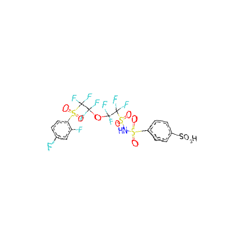 O=S(=O)(O)c1ccc(S(=O)(=O)NS(=O)(=O)C(F)(F)C(F)(F)OC(F)(F)C(F)(F)S(=O)(=O)c2ccc(F)cc2F)cc1